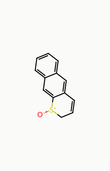 [O-][S+]1CC=Cc2cc3ccccc3cc21